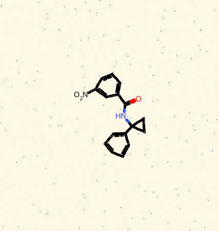 O=C(NC1(c2ccccc2)CC1)c1cccc([N+](=O)[O-])c1